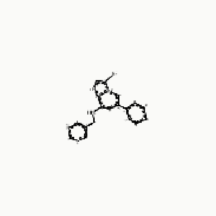 Brc1cnc2c(NCc3cncnc3)cc(-c3ccccc3)cn12